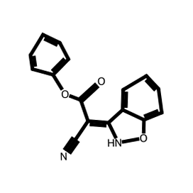 N#CC(C(=O)Oc1ccccc1)=C1NOc2ccccc21